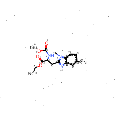 Cn1c(CC(NC(=O)OC(C)(C)C)C(=O)OCC#N)nc2cc(C#N)ccc21